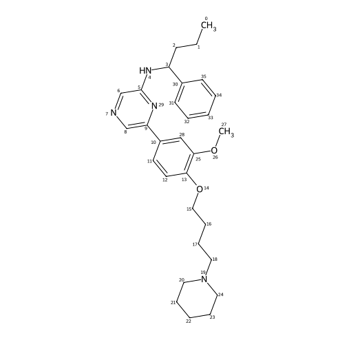 CCCC(Nc1cncc(-c2ccc(OCCCCN3CCCCC3)c(OC)c2)n1)c1ccccc1